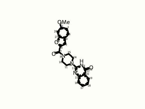 COc1ccc2cc(C(=O)N3CCN(c4nc5ccccc5c(=O)[nH]4)CC3)oc2c1